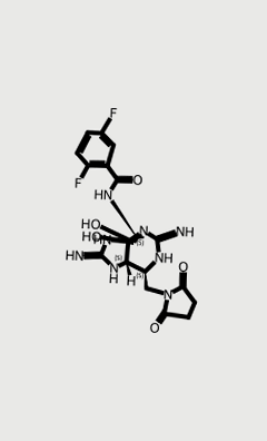 N=C1N[C@H]2[C@H](CN3C(=O)CCC3=O)NC(=N)N3C[C@H](NC(=O)c4cc(F)ccc4F)C(O)(O)C23N1